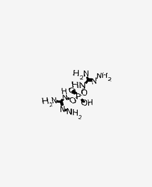 NN=C(N)NOP(=O)(O)ONC(N)=NN